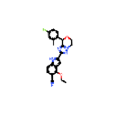 CCOc1c(C#N)ccc2[nH]c(-c3nc4n(n3)CCOC4c3ccc(F)cc3C)cc12